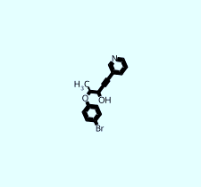 C[C@H](Oc1ccc(Br)cc1)C(O)C#Cc1cccnc1